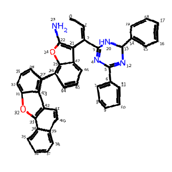 C/C=C(/C1=NC(c2ccccc2)=NC(c2ccccc2)N1)c1c(N)oc2c(-c3cccc4oc5c6ccccc6ccc5c34)cccc12